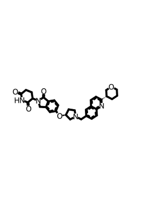 O=C1CCC(N2Cc3cc(O[C@H]4CCN(Cc5ccc6nc([C@H]7CCCOC7)ccc6c5)C4)ccc3C2=O)C(=O)N1